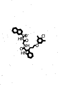 Cc1cc(OCCCc2c(C(=O)NCC(=O)N[S+]([O-])c3ccc4ccccc4c3)[nH]c3ccccc23)cc(C)c1Cl